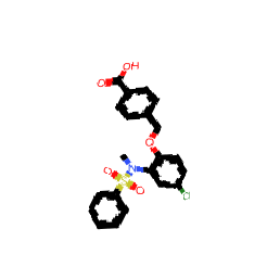 CN(c1cc(Cl)ccc1OCc1ccc(C(=O)O)cc1)S(=O)(=O)c1ccccc1